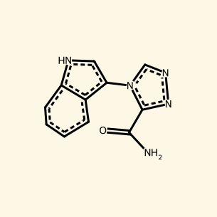 NC(=O)c1nncn1-c1c[nH]c2ccccc12